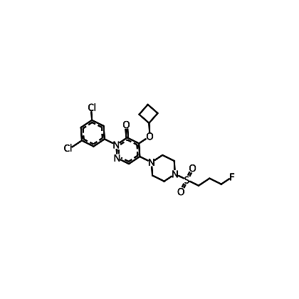 O=c1c(OC2CCC2)c(N2CCN(S(=O)(=O)CCCF)CC2)cnn1-c1cc(Cl)cc(Cl)c1